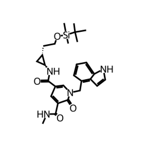 CNC(=O)c1cc(C(=O)N[C@H]2C[C@@H]2CCO[Si](C)(C)C(C)(C)C)cn(Cc2cccc3[nH]ccc23)c1=O